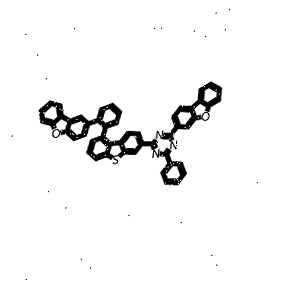 c1ccc(-c2nc(-c3ccc4c(c3)oc3ccccc34)nc(-c3ccc4c(c3)sc3cccc(-c5ccccc5-c5ccc6oc7ccccc7c6c5)c34)n2)cc1